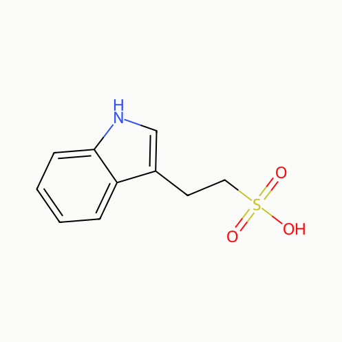 O=S(=O)(O)CCc1c[nH]c2ccccc12